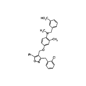 Cc1cc(OCc2c(Cc3ccccc3Cl)noc2C(C)C)ccc1N(C)Cc1cccc(C(=O)O)c1